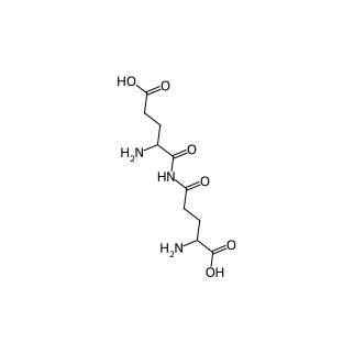 NC(CCC(=O)NC(=O)C(N)CCC(=O)O)C(=O)O